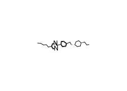 CCCCCc1cnc(-c2ccc(CC[C@H]3CC[C@H](CCC)CC3)cc2)nc1